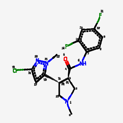 CN1C[C@H](C(=O)Nc2ccc(F)cc2F)[C@@H](c2cc(Cl)nn2C)C1